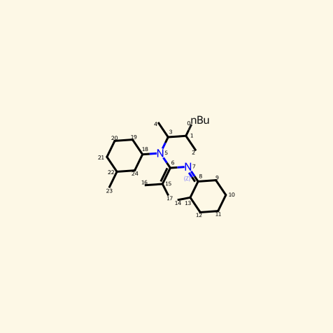 CCCCC(C)C(C)N(C(/N=C1/CCCCC1C)=C(C)C)C1CCCC(C)C1